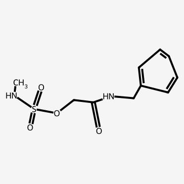 CNS(=O)(=O)OCC(=O)NCc1ccccc1